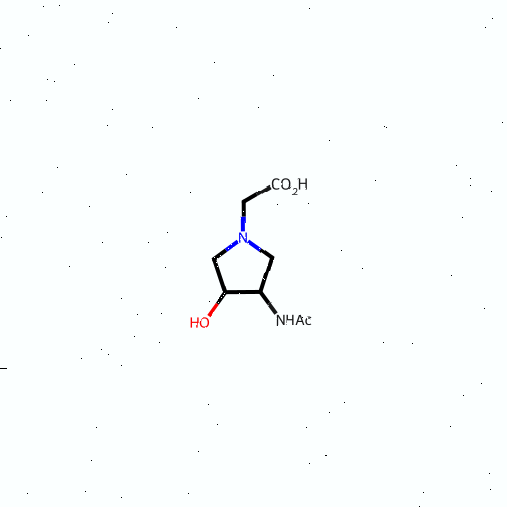 CC(=O)NC1CN(CC(=O)O)CC1O